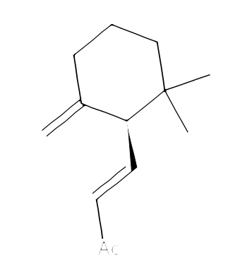 C=C1CCCC(C)(C)[C@H]1/C=C/C(C)=O